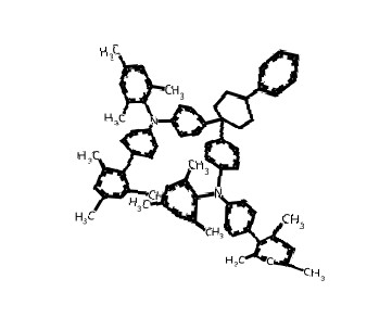 Cc1cc(C)c(-c2ccc(N(c3ccc(C4(c5ccc(N(c6ccc(-c7c(C)cc(C)cc7C)cc6)c6c(C)cc(C)cc6C)cc5)CCC(c5ccccc5)CC4)cc3)c3c(C)cc(C)cc3C)cc2)c(C)c1